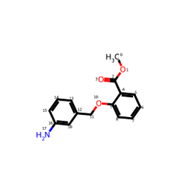 COC(=O)c1ccccc1OCc1cccc(N)c1